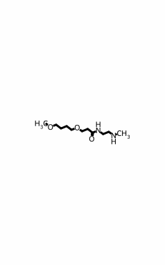 CNCCNC(=O)CCOCCCCOC